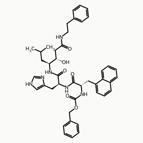 CC(C)C[C@H](NC(=O)[C@H](Cc1c[nH]cn1)NC(=O)[C@H](Cc1cccc2ccccc12)NC(=O)OCc1ccccc1)[C@@H](O)CC(=O)NCCc1ccccc1